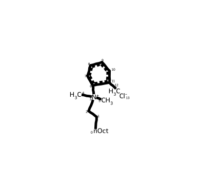 CCCCCCCCCC[N+](C)(C)c1ccccc1C.[Cl-]